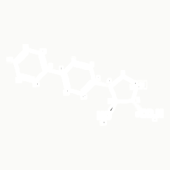 O=C(O)[C@H]1NC[C@@H](c2ccc(-c3ccccc3)cc2)[C@@H]1O